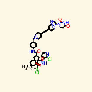 CC1(C)CCC2(CC1)C[C@@H](C(=O)N[C@H]1CC[C@H](CN3CCC(C#Cc4ccn5c(N6CCC(=O)NC6=O)cnc5c4)CC3)CC1)[C@H](c1ccnc(Cl)c1F)[C@]21C(=O)Nc2cc(Cl)ccc21